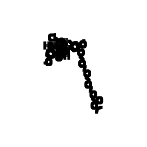 COc1ccc(Nc2nc(Nc3cc(OCCOCCOCCOCCOCC(=O)OC(C)C)c(OC)cc3C)ncc2Cl)c(NS(C)(=O)=O)c1